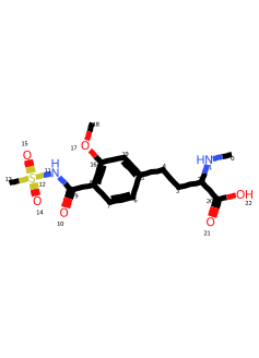 CNC(CCc1ccc(C(=O)NS(C)(=O)=O)c(OC)c1)C(=O)O